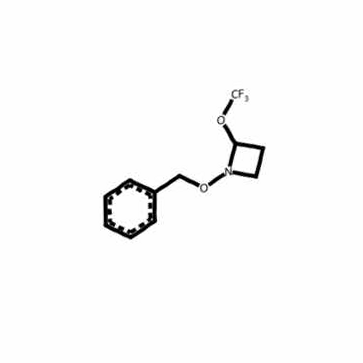 FC(F)(F)OC1CCN1OCc1ccccc1